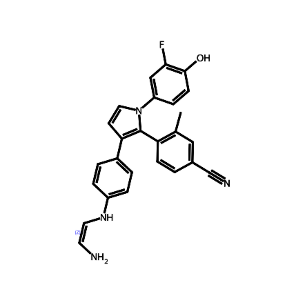 Cc1cc(C#N)ccc1-c1c(-c2ccc(N/C=C\N)cc2)ccn1-c1ccc(O)c(F)c1